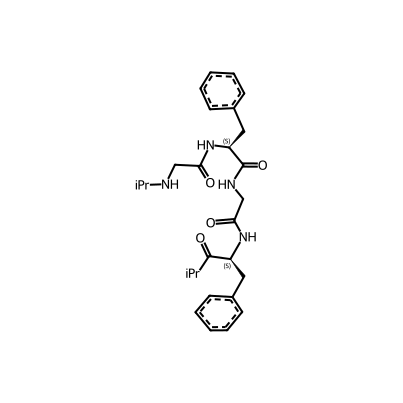 CC(C)NCC(=O)N[C@@H](Cc1ccccc1)C(=O)NCC(=O)N[C@@H](Cc1ccccc1)C(=O)C(C)C